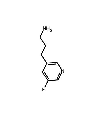 NCCCc1cncc(F)c1